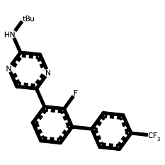 CC(C)(C)Nc1cnc(-c2cccc(-c3ccc(C(F)(F)F)cc3)c2F)cn1